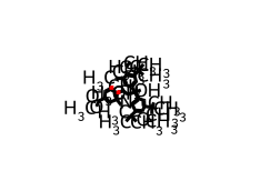 CCC(N=Cc1cc(C(=O)OC)ccc1O)C(O)(c1cc(C(C)(C)C)c(OC)c(C(C)(C)C)c1)c1cc(C(C)(C)C)c(OC)c(C(C)(C)C)c1